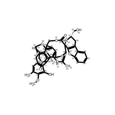 COc1c(C)cc2c(c1O)C1[C@@H]3[C@@H]4SC[C@]5(N[C@H](CO)Cc6c5oc5ccccc65)C(=O)OCC(c5c6c(c(C)c(OC(C)=O)c54)OCO6)N3C(O)(C2)CN1C